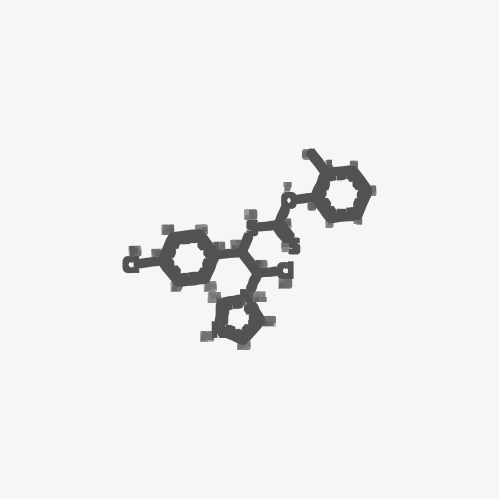 Cc1ccccc1OC(=S)SC(c1ccc(Cl)cc1)C(Cl)n1ccnc1